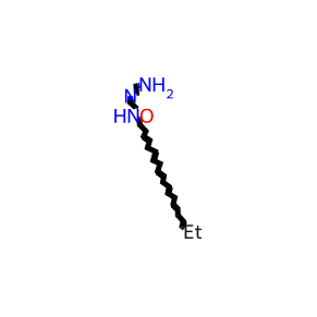 CCC=CCC=CCC=CCC=CCC=CCC=CCCC(=O)NCCN(C)CCN